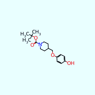 CC(C)(C)OC(=O)N1CCC(COc2ccc(O)cc2)CC1